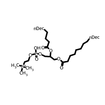 CCCCCCCCCCCCCCCCCC(=O)OCC(COP(=O)(O)OCC[N+](C)(C)C)OC(=O)CCCCCCCCCCCCC